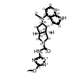 COc1nsc(NC(=O)N2C[C@H]3C[C@@H](N(C)c4ccnc5[nH]ccc45)C[C@H]3C2)n1